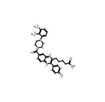 Cc1cccc(N2CCN(C(=O)c3ccc4nc(-c5ccc(Cl)cc5)c(CCCCC(=O)O)nc4c3)CC2)c1C